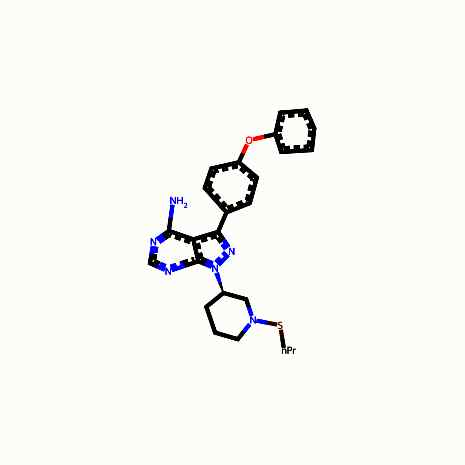 CCCSN1CCC[C@@H](n2nc(-c3ccc(Oc4ccccc4)cc3)c3c(N)ncnc32)C1